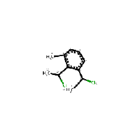 Cc1cccc(C(C)Cl)c1C(C)Cl